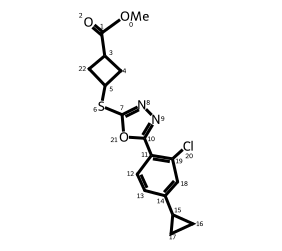 COC(=O)C1CC(Sc2nnc(-c3ccc(C4CC4)cc3Cl)o2)C1